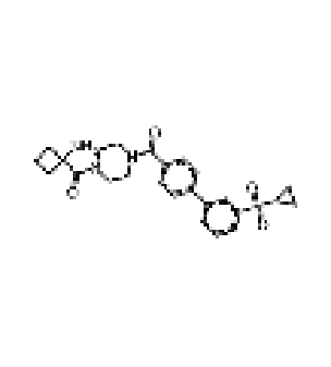 NC1(C(=O)N2CCN(C(=O)c3ccc(-c4cccc(S(=O)(=O)C5CC5)c4)cc3)CC2)CCC1